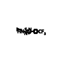 FC(F)(F)c1ccc(-c2cn3nc(NCC4CC4)sc3n2)cc1